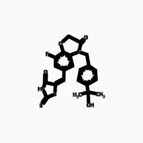 CC(C)(O)c1ccc(CN2C(=O)COc3c(F)cc(C=C4SC(=S)NC4=O)cc32)cc1